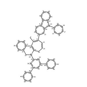 CC1=C(c2ccc3c4ccccc4n(-c4ccccc4)c3c2)C=CCC2=C1c1ccccc1CN2c1nc(-c2ccccc2)cc(-c2ccccc2)n1